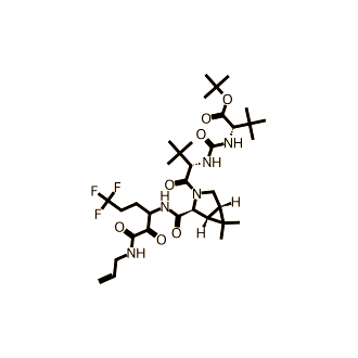 C=CCNC(=O)C(=O)C(CCC(F)(F)F)NC(=O)[C@@H]1[C@@H]2[C@H](CN1C(=O)[C@@H](NC(=O)N[C@H](C(=O)OC(C)(C)C)C(C)(C)C)C(C)(C)C)C2(C)C